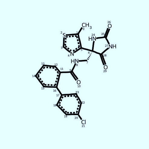 Cc1scnc1[C@@]1(CNC(=O)c2ccccc2-c2ccc(Cl)cc2)NC(=O)NC1=O